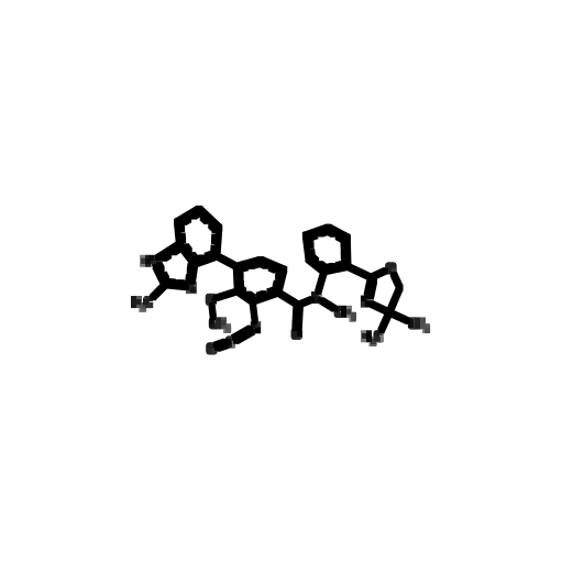 COc1c(-c2cccc3[nH]c(C)nc23)ccc(C(=O)N(C)c2ccccc2C2=NC(C)(C)CO2)c1N=C=O